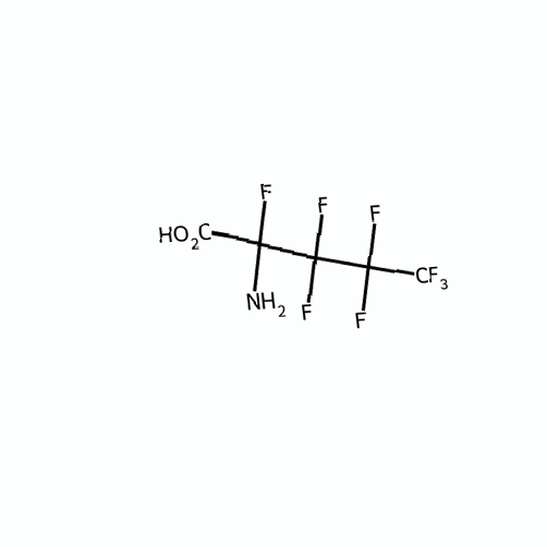 NC(F)(C(=O)O)C(F)(F)C(F)(F)C(F)(F)F